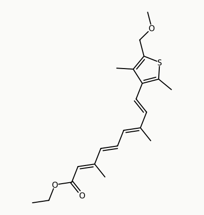 CCOC(=O)/C=C(\C)C=CC=C(C)C=Cc1c(C)sc(COC)c1C